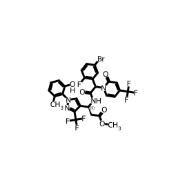 COC(=O)C[C@H](NC(=O)C(c1cc(Br)ccc1F)n1ccc(C(F)(F)F)cc1=O)c1cn(-c2c(C)cccc2O)nc1C(F)(F)F